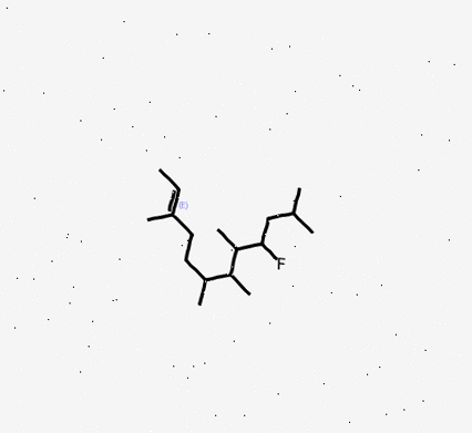 C/C=C(\C)CCC(C)C(C)C(C)C(F)CC(C)C